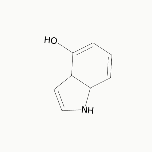 OC1=CC=CC2NC=CC12